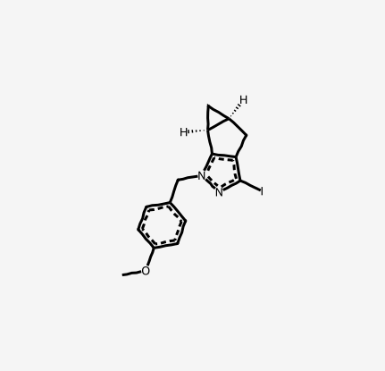 COc1ccc(Cn2nc(I)c3c2[C@H]2C[C@H]2C3)cc1